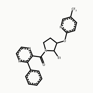 CCC1C(Oc2ccc(C(F)(F)F)cn2)CCN1C(=O)c1nccnc1-c1ccccc1